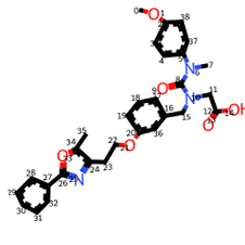 COc1ccc(N(C)C(=O)N(CC(=O)O)Cc2cccc(OCCc3nc(-c4ccccc4)oc3C)c2)cc1